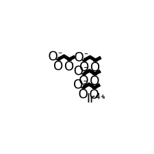 CC(=O)CC(=O)[O-].CC(=O)CC(=O)[O-].CC(=O)CC(=O)[O-].CC(=O)CC(=O)[O-].[Ir+4]